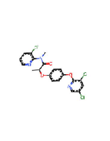 CC(Oc1ccc(Oc2ncc(Cl)cc2Cl)cc1)C(=O)N(C)c1ncccc1Cl